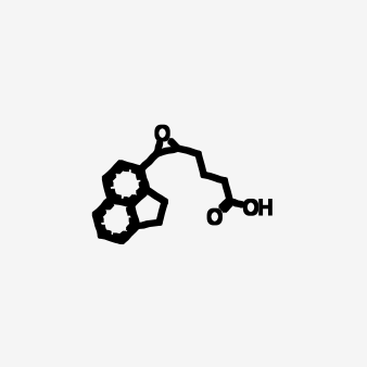 O=C(O)CCCC1OC1c1ccc2cccc3c2c1CC3